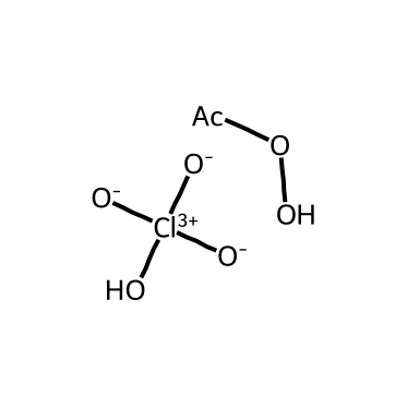 CC(=O)OO.[O-][Cl+3]([O-])([O-])O